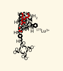 CC(C)CC(CC(C)C)NC(=O)[C@H](Cc1cnc[nH]1)NC(=O)CNC(=O)[C@@H](NC(=O)[C@H](C)NC(=O)[C@H](Cc1c[nH]c2ccccc12)NC(=O)[C@H](CCC(N)=O)NC(=O)[C@@H](Cc1ccccc1)NC(=O)COCC(=O)Nc1ccc(CNC(=O)CN2CCN(CC(=O)[O-])CCN(CC(=O)[O-])CCN(CC(=O)[O-])CC2)cc1)C(C)C.[177Lu+3]